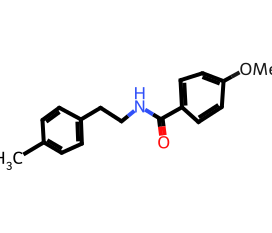 COc1ccc(C(=O)NCCc2ccc(C)cc2)cc1